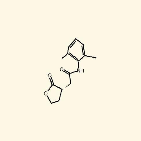 Cc1cccc(C)c1NC(=O)C[C@@H]1CCOC1=O